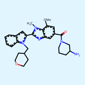 COc1cc(C(=O)N2CCCC(N)C2)cc2nc(-c3cc4ccccc4n3CC3CCOCC3)n(C)c12